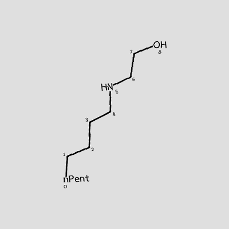 CCCCCCCCCNCCO